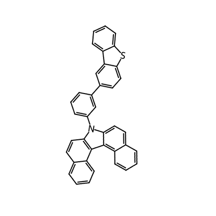 c1cc(-c2ccc3sc4ccccc4c3c2)cc(-n2c3ccc4ccccc4c3c3c4ccccc4ccc32)c1